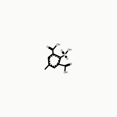 Cc1cc(C(=O)O)c(S(=O)(=O)O)c(C(=O)O)c1